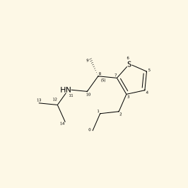 CCCc1ccsc1[C@@H](C)CNC(C)C